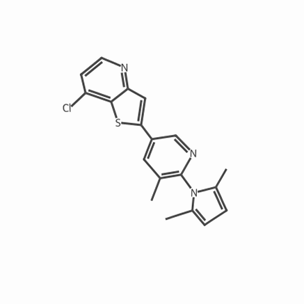 Cc1cc(-c2cc3nccc(Cl)c3s2)cnc1-n1c(C)ccc1C